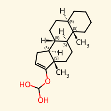 C[C@]12CCCC[C@@H]1CC[C@@H]1[C@@H]2CC[C@]2(C)C(OC(O)O)=CC[C@@H]12